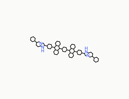 C1CCC(C2CCC3NC(C4CCC(C5C6CCCCC6C(C6CCC(C7C8CCCCC8C(C8CCC(C9CN%10CC(C%11CCCCC%11)CCC%10N9)CC8)C8CCCCC87)CC6)C6CCCCC65)CC4)CN3C2)CC1